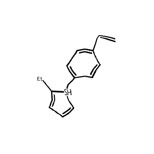 C=Cc1ccc([SH]2C=CC=C2CC)cc1